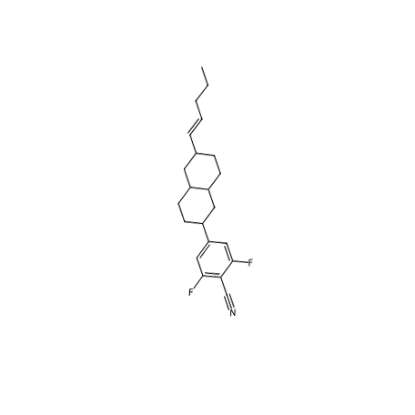 CCCC=CC1CCC2CC(c3cc(F)c(C#N)c(F)c3)CCC2C1